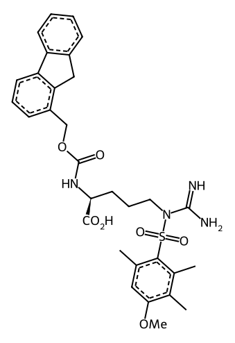 COc1cc(C)c(S(=O)(=O)N(CCC[C@H](NC(=O)OCc2cccc3c2Cc2ccccc2-3)C(=O)O)C(=N)N)c(C)c1C